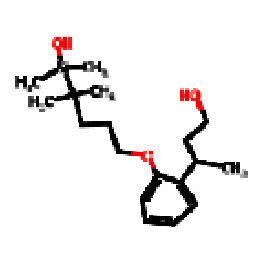 CC(CCO)c1ccccc1OCCCC(C)(C)[Si](C)(C)O